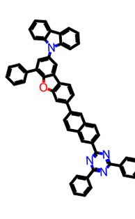 c1ccc(-c2nc(-c3ccccc3)nc(-c3ccc4cc(-c5ccc6c(c5)oc5c(-c7ccccc7)cc(-n7c8ccccc8c8ccccc87)cc56)ccc4c3)n2)cc1